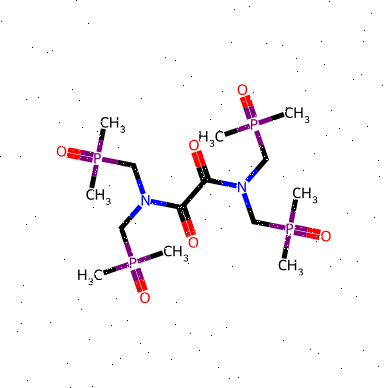 CP(C)(=O)CN(CP(C)(C)=O)C(=O)C(=O)N(CP(C)(C)=O)CP(C)(C)=O